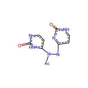 CC(=O)N([N]c1cc[nH]c(=O)n1)c1ccnc(=O)[nH]1